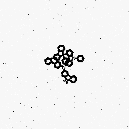 CC1(C)c2ccccc2-c2cc(N(c3ccc4c(ccc5ccccc54)c3)c3ccc4c(c3)c3c(C5(c6ccccc6)c6ccccc6-c6ccccc65)cccc3n4-c3ccccc3)ccc21